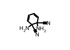 N#CC1(N)C=CC=CC1(N)C#N